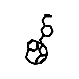 CNCC1CCCN(CCCc2cc3ccc2CCc2ccc(cc2)CC3)C1